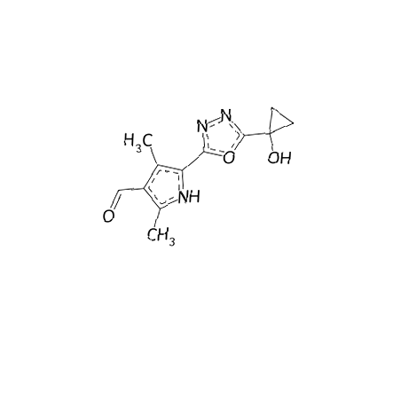 Cc1[nH]c(-c2nnc(C3(O)CC3)o2)c(C)c1C=O